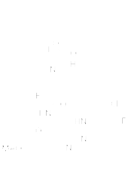 COCCOc1cc2ncnc(Nc3ccc(F)c(Cl)c3)c2cc1NC(=O)C(F)=CCN1C[C@@H]2OCCO[C@@H]2C1